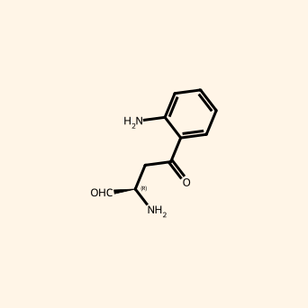 Nc1ccccc1C(=O)C[C@@H](N)C=O